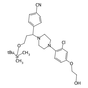 CC(C)(C)[Si](C)(C)OCCC(c1ccc(C#N)cc1)N1CCN(c2ccc(OCCO)cc2Cl)CC1